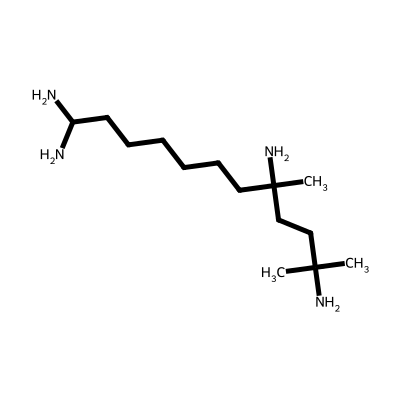 CC(C)(N)CCC(C)(N)CCCCCCC(N)N